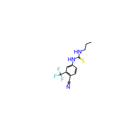 CCCNC(=S)Nc1ccc(C#N)c(C(F)(F)F)c1